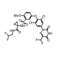 COc1ccc(Oc2c(Cl)cc(-n3nc(C(F)F)c(=O)[nH]c3=O)cc2Cl)cc1S(=O)(=O)NC1(C(=O)NCC(F)F)CC1